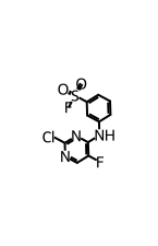 O=S(=O)(F)c1cccc(Nc2nc(Cl)ncc2F)c1